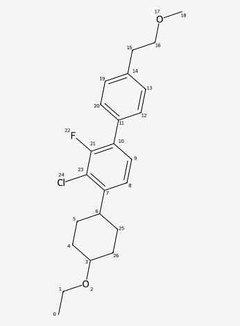 CCOC1CCC(c2ccc(-c3ccc(CCOC)cc3)c(F)c2Cl)CC1